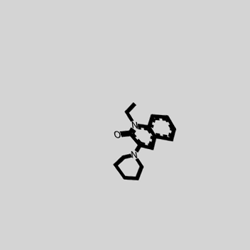 CCn1c(=O)c(N2CCCCC2)cc2ccccc21